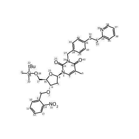 Cc1cn([C@H]2C[C@H](OCc3ccccc3[N+](=O)[O-])[C@@H](CO[Si](C)(C)C(C)(C)C)O2)c(=O)n(Cc2ccc(SSc3ccccn3)cc2)c1=O